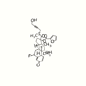 C[C@H]1C[C@H]2[C@@H]3C[C@H](F)C4=CC(=O)C=C[C@]4(C)[C@@]3(F)[C@@H](O)C[C@]2(C)[C@@]1(OC(=O)c1ccco1)C(=O)SCC#CCO